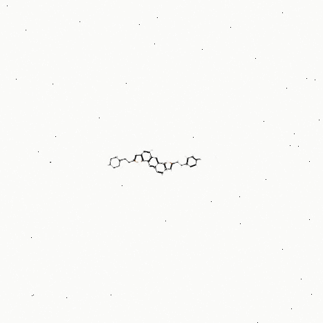 CCCCCCCCc1ccc(CCc2cc3ccc4cc5c(ccc6cc(CCC7CCCCC7)sc65)cc4c3s2)cc1